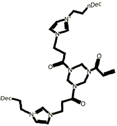 C=CC(=O)N1CN(C(=O)CCn2cc[n+](CCCCCCCCCCCC)c2)CN(C(=O)CCn2cc[n+](CCCCCCCCCCCC)c2)C1